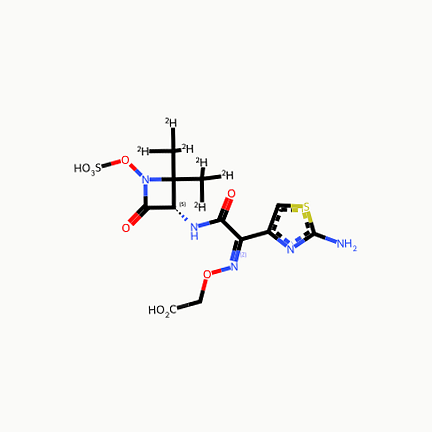 [2H]C([2H])([2H])C1(C([2H])([2H])[2H])[C@H](NC(=O)/C(=N\OCC(=O)O)c2csc(N)n2)C(=O)N1OS(=O)(=O)O